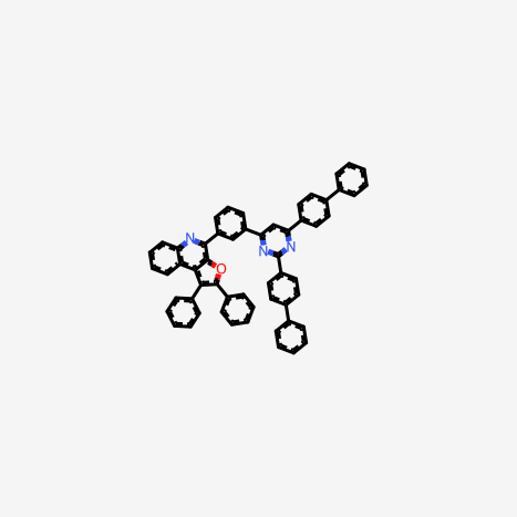 c1ccc(-c2ccc(-c3cc(-c4cccc(-c5nc6ccccc6c6c(-c7ccccc7)c(-c7ccccc7)oc56)c4)nc(-c4ccc(-c5ccccc5)cc4)n3)cc2)cc1